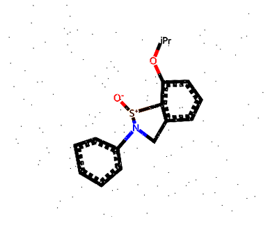 CC(C)Oc1cccc2c1[S+]([O-])N(c1ccccc1)C2